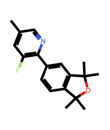 Cc1cnc(-c2ccc3c(c2)C(C)(C)OC3(C)C)c(F)c1